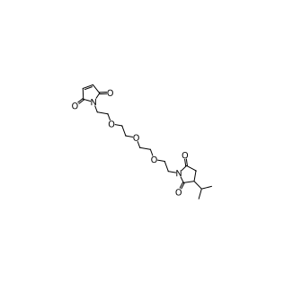 CC(C)C1CC(=O)N(CCOCCOCCOCCN2C(=O)C=CC2=O)C1=O